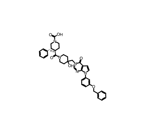 O=C(O)N1CC[C@@H](C(=O)N2CCC(O)(Cn3cnc4c(ccn4-c4cccc(OCc5ccccc5)c4)c3=O)CC2)[C@H](c2ccccc2)C1